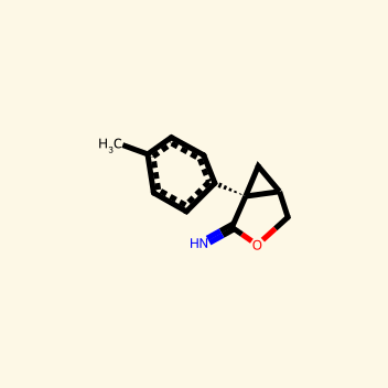 Cc1ccc([C@]23CC2COC3=N)cc1